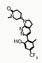 Cc1cc(C(F)(F)F)cc(O)c1-c1cc2c(nn1)N([C@@H]1CCC(=O)N(C)C1)CC2